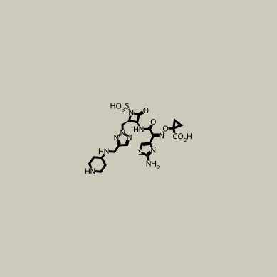 Nc1nc(/C(=N/OC2(C(=O)O)CC2)C(=O)N[C@@H]2C(=O)N(S(=O)(=O)O)[C@@H]2Cn2ncc(CNC3CCNCC3)n2)cs1